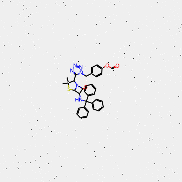 CC1(C)SC2C(NC(c3ccccc3)(c3ccccc3)c3ccccc3)C(=O)N2C1c1nnnn1Cc1ccc(OC=O)cc1